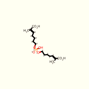 CC(=CCCCCOP(=O)(O)OCCCCC=C(C)C(=O)O)C(=O)O